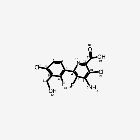 Nc1c(F)c(-c2ccc(Cl)c(CO)c2F)nc(C(=O)O)c1Cl